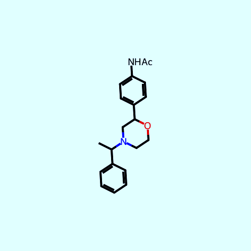 CC(=O)Nc1ccc(C2CN(C(C)c3ccccc3)CCO2)cc1